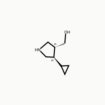 OC[C@H]1CNC[C@@H]1C1CC1